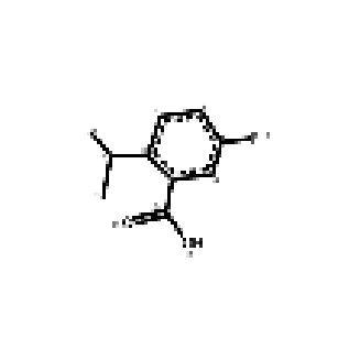 CC(C)c1ccc(F)cc1C(=O)O